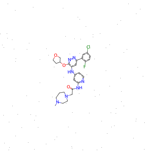 CN1CCCN(CC(=O)Nc2cc(Nc3cc(-c4cc(Cl)ccc4F)nnc3OC3CCOC3)ccn2)CC1